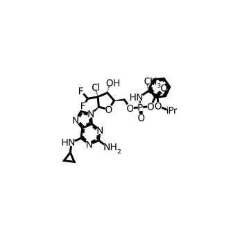 CC(C)OC(=O)[C@@H](C)N[P@@](=O)(OC[C@H]1O[C@@H](n2cnc3c(NC4CC4)nc(N)nc32)[C@@](Cl)(C(F)F)[C@@H]1O)Oc1ccccc1